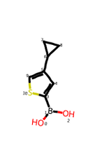 OB(O)c1cc(C2CC2)cs1